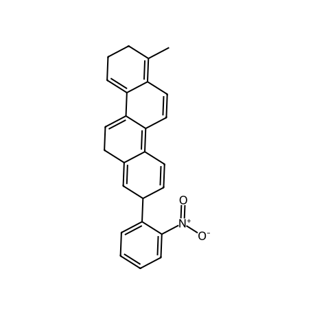 CC1=c2ccc3c(c2=CCC1)=CCC1=CC(c2ccccc2[N+](=O)[O-])C=CC=31